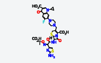 CC(C)(O/N=C(\C(=O)N[C@@H]1C(=O)N2C(C(=O)O)=C(CN3CCN(c4cc5c(cc4F)c(=O)c(C(=O)O)cn5C4CC4)CC3)CS[C@H]12)c1csc(N)n1)C(=O)O